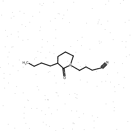 CCCCC1CCCN(CCCC#N)C1=O